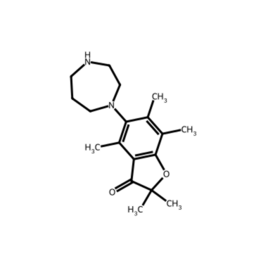 Cc1c(C)c(N2CCCNCC2)c(C)c2c1OC(C)(C)C2=O